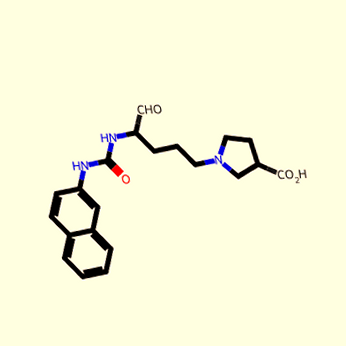 O=CC(CCCN1CCC(C(=O)O)C1)NC(=O)Nc1ccc2ccccc2c1